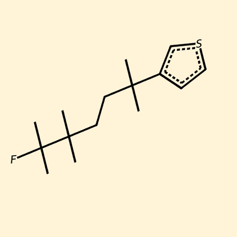 CC(C)(CCC(C)(C)C(C)(C)F)c1ccsc1